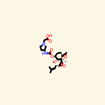 CO[C@@H]1[C@H](OC(=O)N[C@H]2CCN(CC(=O)O)C2)CC[C@]2(CO2)[C@H]1[C@@]1(C)O[C@@H]1CC=C(C)C